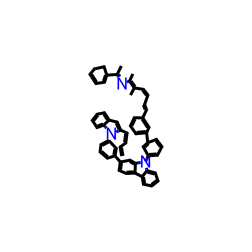 C=C/C=C\c1cc2ccccc2n1-c1cccc(-c2ccc3c4ccccc4n(-c4cccc(-c5cccc(/C=C/C=C\C(C)=C(C)\N=C(/C)C6=CC=CCC6)c5)c4)c3c2)c1